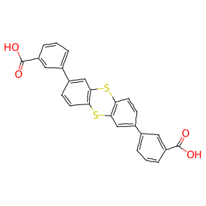 O=C(O)c1cccc(-c2ccc3c(c2)Sc2ccc(-c4cccc(C(=O)O)c4)cc2S3)c1